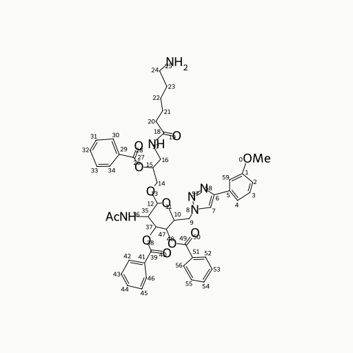 COc1cccc(-c2cn(CC3OC(OCC(CNC(=O)CCCCCN)OC(=O)c4ccccc4)C(NC(C)=O)C(OC(=O)c4ccccc4)C3OC(=O)c3ccccc3)nn2)c1